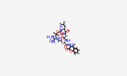 Cc1c(NC(=O)[C@H](CCCNC(=N)N)NC(=O)CNC(=O)[C@H](CC(C)C)NC(=O)OC(C)(C)C)c(=O)oc2ccccc12